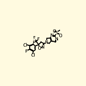 CS(=O)(=O)c1ncc2c(n1)CN(C1=NOC(c3cc(Cl)c(F)c(Cl)c3)(C(F)(F)F)C1)C2